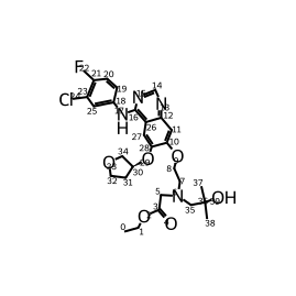 CCOC(=O)CN(CCOc1cc2ncnc(Nc3ccc(F)c(Cl)c3)c2cc1O[C@H]1CCOC1)CC(C)(C)O